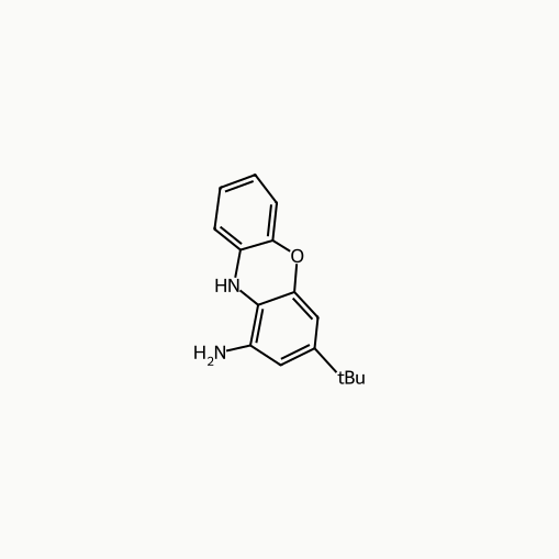 CC(C)(C)c1cc(N)c2c(c1)Oc1ccccc1N2